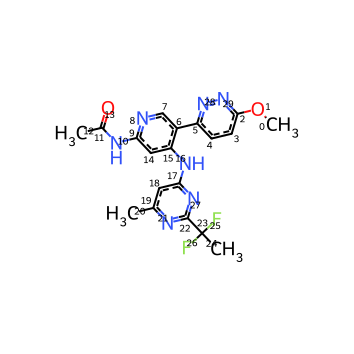 COc1ccc(-c2cnc(NC(C)=O)cc2Nc2cc(C)nc(C(C)(F)F)n2)nn1